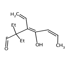 C=C/C(=C(O)\C=C/C)C(CC)(CC)P=O